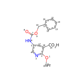 CCCOc1ncc(NC(=O)OCc2ccccc2)cc1C(=O)O